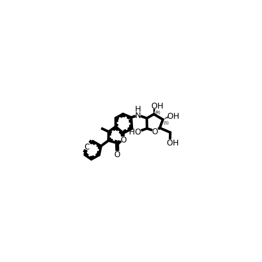 Cc1c(-c2ccccc2)c(=O)oc2cc(NC3C(O)OC(CO)[C@@H](O)[C@@H]3O)ccc12